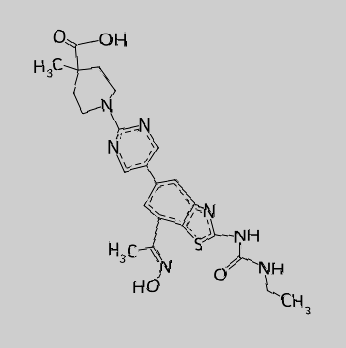 CCNC(=O)Nc1nc2cc(-c3cnc(N4CCC(C)(C(=O)O)CC4)nc3)cc(C(C)=NO)c2s1